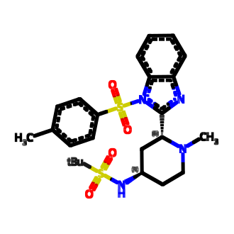 Cc1ccc(S(=O)(=O)n2c([C@H]3C[C@H](NS(=O)(=O)C(C)(C)C)CCN3C)nc3ccccc32)cc1